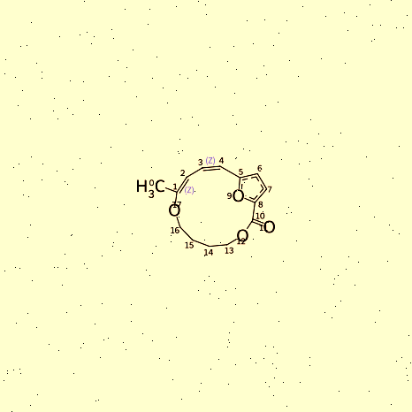 C/C1=C/C=C\c2ccc(o2)C(=O)OCCCCO1